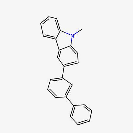 Cn1c2ccccc2c2cc(-c3cccc(-c4ccccc4)c3)ccc21